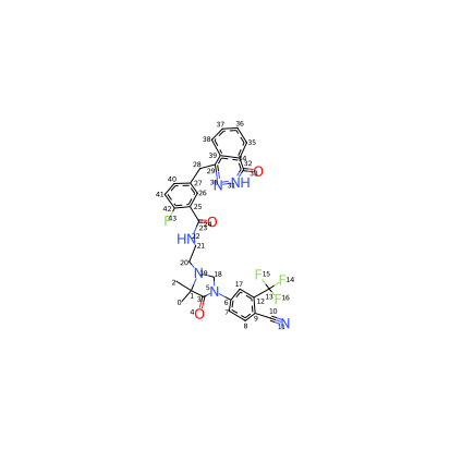 CC1(C)C(=O)N(c2ccc(C#N)c(C(F)(F)F)c2)CN1CCNC(=O)c1cc(Cc2n[nH]c(=O)c3ccccc23)ccc1F